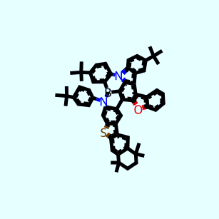 CC(C)(C)c1ccc(N2B3c4cc(C(C)(C)C)ccc4-n4c5ccc(C(C)(C)C)cc5c5c6c(oc7ccccc76)c(c3c54)-c3cc4c(cc32)sc2cc3c(cc24)C(C)(C)CCC3(C)C)cc1